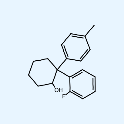 Cc1ccc(C2(c3ccccc3F)CCCCC2O)cc1